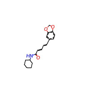 O=C(C=CC=Cc1ccc2c(c1)OCO2)NC1CCCCC1